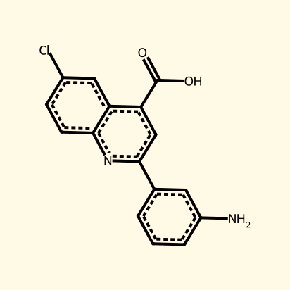 Nc1cccc(-c2cc(C(=O)O)c3cc(Cl)ccc3n2)c1